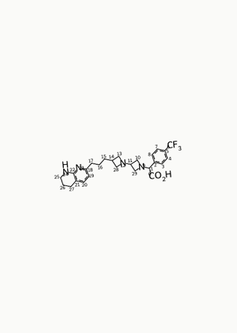 O=C(O)[C@H](c1ccc(C(F)(F)F)cc1)N1CC(N2CC(CCCc3ccc4c(n3)NCCC4)C2)C1